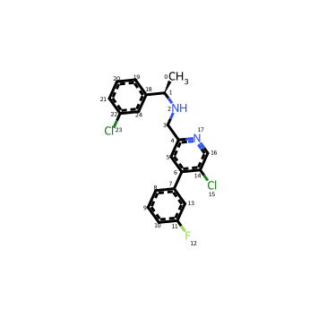 C[C@@H](NCc1cc(-c2cccc(F)c2)c(Cl)cn1)c1cccc(Cl)c1